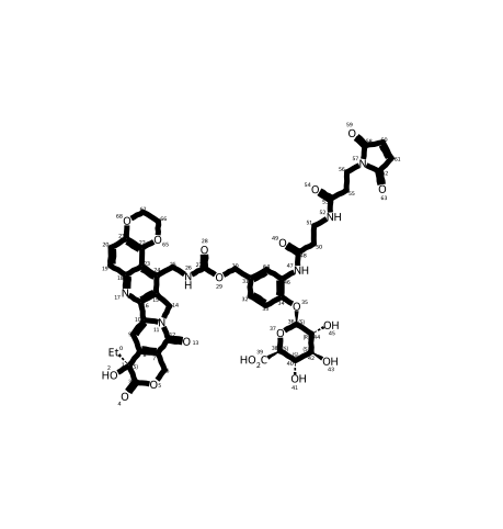 CC[C@@]1(O)C(=O)OCc2c1cc1n(c2=O)Cc2c-1nc1ccc3c(c1c2CNC(=O)OCc1ccc(O[C@@H]2O[C@H](C(=O)O)[C@@H](O)[C@H](O)[C@H]2O)c(NC(=O)CCNC(=O)CCN2C(=O)C=CC2=O)c1)OCCO3